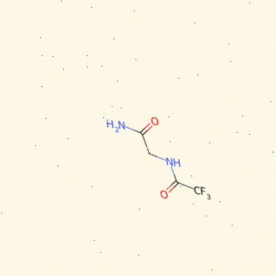 NC(=O)CNC(=O)C(F)(F)F